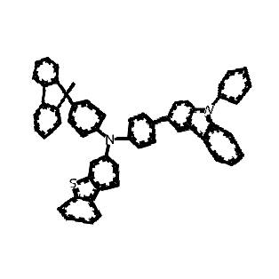 CC1(c2ccc(N(c3ccc(-c4ccc5c(c4)c4ccccc4n5-c4ccccc4)cc3)c3ccc4c(c3)sc3ccccc34)cc2)c2ccccc2-c2ccccc21